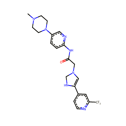 CN1CCN(c2ccc(NC(=O)CN3C=C(c4ccnc(C(F)(F)F)c4)NC3)nc2)CC1